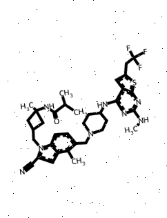 CNc1nc(NC2CCN(Cc3ccc4c(cc(C#N)n4CC4CC(C)(NC(=O)C(C)C)C4)c3C)CC2)c2cc(CC(F)(F)F)sc2n1